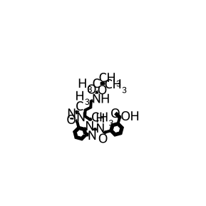 Cc1noc(-c2cccc3nc(NC(=O)c4cccc(C(=O)O)c4)n(C(C)CCCCNC(=O)OC(C)(C)C)c23)n1